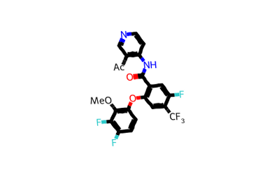 COc1c(Oc2cc(C(F)(F)F)c(F)cc2C(=O)Nc2ccncc2C(C)=O)ccc(F)c1F